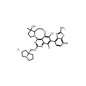 CC1(O)CCN2c3nc(OC[C@@]45CCCN4C[C@H](F)C5)nc4c(F)c(-c5ccc(F)c6sc(N)nc56)c(Cl)c(c34)OCCC21